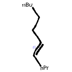 [CH2]CC/C=C/CCCCCC